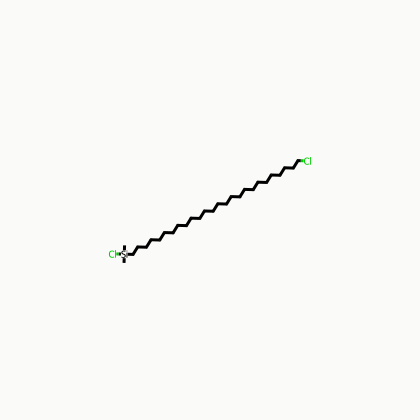 C[Si](C)(Cl)CCCCCCCCCCCCCCCCCCCCCCCCCCCl